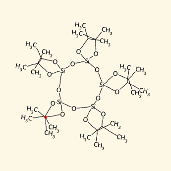 CC(C)O[Si]1(OC(C)C)O[Si](OC(C)C)(OC(C)C)O[Si](OC(C)C)(OC(C)C)O[Si](OC(C)C)(OC(C)C)O[Si](OC(C)C)(OC(C)C)O1